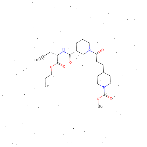 C#CC[C@H](NC(=O)[C@@H]1CCCN(C(=O)CCC2CCN(C(=O)OC(C)(C)C)CC2)C1)C(=O)OCCC(C)C